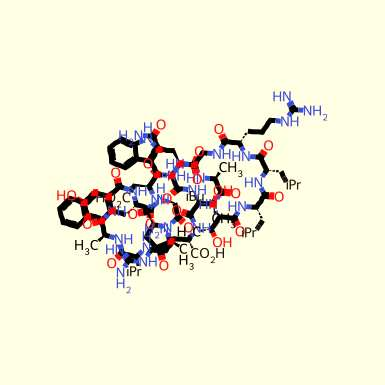 CC[C@H](C)[C@H](NC(=O)[C@H](Cc1ccc(O)cc1)NC(=O)[C@H](Cc1ccccc1)NC(=O)[C@H](C)NC(=O)[C@@H](NC(=O)[C@H](C)N)C(C)C)C(=O)N1CCC[C@H]1C(=O)N[C@@H](CC(=O)O)C(=O)N[C@@H](CCC(N)=O)C(=O)N[C@@H](C)C(=O)N[C@H](C(=O)N[C@@H](CC(C)C)C(=O)N[C@@H](CC(C)C)C(=O)N[C@@H](CCCNC(=N)N)C(=O)NCC(=O)N[C@@H](Cc1c[nH]c2ccccc12)C(=O)N[C@H](C(=O)N[C@@H](CCCNC(=N)N)C(=O)O)[C@@H](C)O)[C@@H](C)O